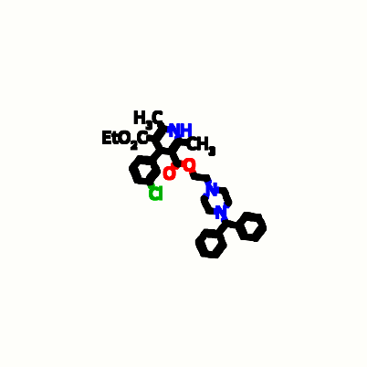 CCOC(=O)C1=C(C)NC(C)=C(C(=O)OCCN2CCN(C(c3ccccc3)c3ccccc3)CC2)C1c1cccc(Cl)c1